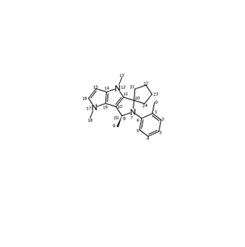 Cc1ccccc1N1[C@@H](C)c2c(n(C)c3ccn(C)c23)C12CCCC2